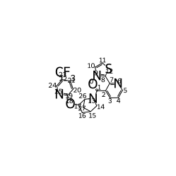 O=C(c1cccnc1-c1nccs1)N1CC2CC(Oc3ccc(C(F)(F)F)cn3)C1C2